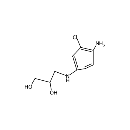 Nc1ccc(NCC(O)CO)cc1Cl